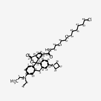 CCN(CI)c1ccc2c(c1)Cc1cc(N3CCC3)ccc1C21OC(=O)c2ccc(C(=O)NCCOCCOCCCCCCCl)cc21